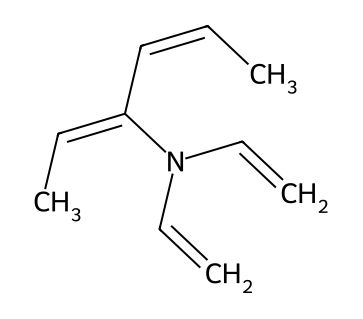 C=CN(C=C)C(/C=C\C)=C\C